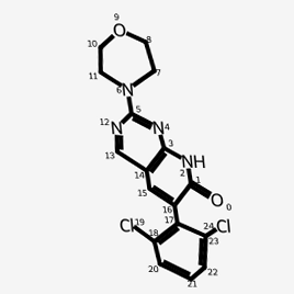 O=c1[nH]c2nc(N3CCOCC3)ncc2cc1-c1c(Cl)cccc1Cl